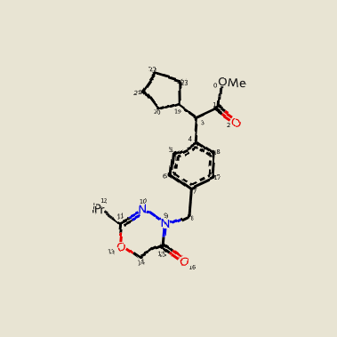 COC(=O)C(c1ccc(CN2N=C(C(C)C)OCC2=O)cc1)C1CCCC1